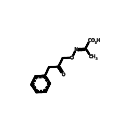 CC(=NOCC(=O)Cc1ccccc1)C(=O)O